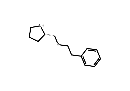 c1ccc(CCSC[C@@H]2CCCN2)cc1